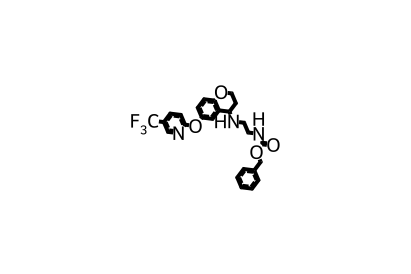 O=C(NCCNC1CCOc2ccc(Oc3ccc(C(F)(F)F)cn3)cc21)OCc1ccccc1